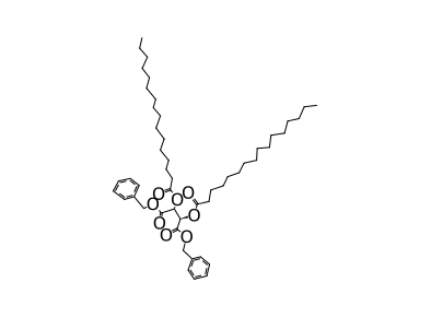 CCCCCCCCCCCCCCCC(=O)O[C@@H](C(=O)OCc1ccccc1)[C@@H](OC(=O)CCCCCCCCCCCCCCC)C(=O)OCc1ccccc1